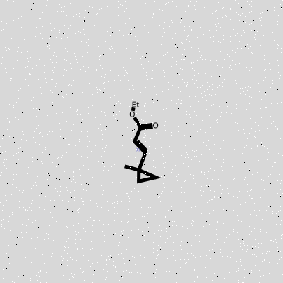 CCOC(=O)/C=C/C1(C)CC1